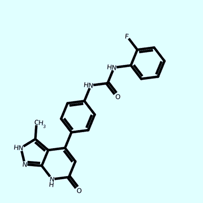 Cc1[nH]nc2[nH]c(=O)cc(-c3ccc(NC(=O)Nc4ccccc4F)cc3)c12